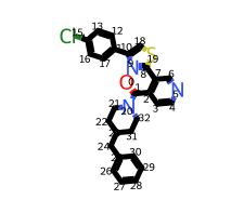 O=C(c1ccncc1-c1nc(-c2ccc(Cl)cc2)cs1)N1CCC(Cc2ccccc2)CC1